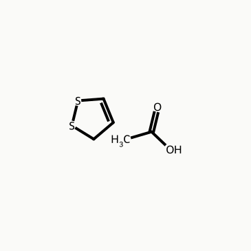 C1=CSSC1.CC(=O)O